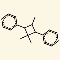 CC1C(c2ccccc2)C(C)(C)C1c1ccccc1